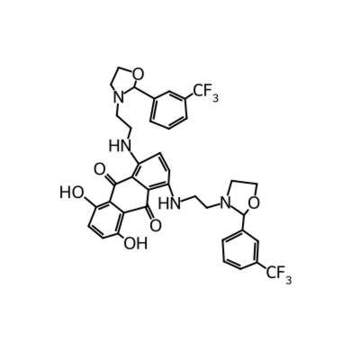 O=C1c2c(O)ccc(O)c2C(=O)c2c(NCCN3CCOC3c3cccc(C(F)(F)F)c3)ccc(NCCN3CCOC3c3cccc(C(F)(F)F)c3)c21